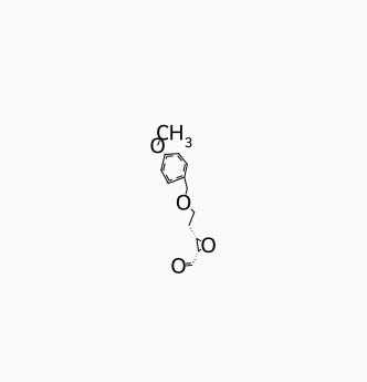 COc1ccc(COCC[C@@H]2O[C@@H]2C=O)cc1